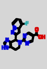 O=C(O)c1cnc(N2CCc3[nH]cnc3C2c2cc3c(F)cccn3n2)nc1